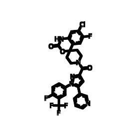 O=C1Nc2cc(Cl)c(F)cc2C2(CCN(C(=O)c3cc(-c4cccnc4)n(-c4ccc(F)c(C(F)(F)F)c4)n3)CC2)O1